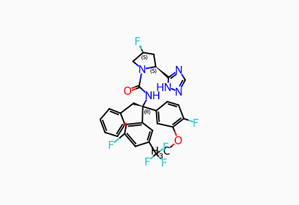 COc1cc([C@@](Cc2ccccc2)(NC(=O)N2C[C@@H](F)C[C@H]2c2ncn[nH]2)c2cc(F)cc(C(F)(F)F)c2)ccc1F